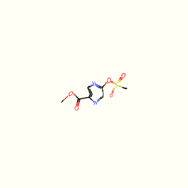 COC(=O)c1cnc(OS(C)(=O)=O)cn1